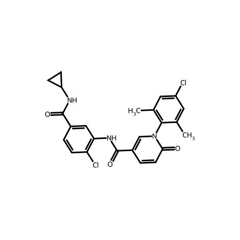 Cc1cc(Cl)cc(C)c1-n1cc(C(=O)Nc2cc(C(=O)NC3CC3)ccc2Cl)ccc1=O